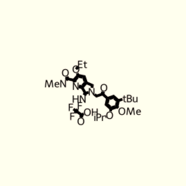 CCOc1cc2c(nc1C(=O)NC)C(=N)N(CC(=O)c1cc(OC(C)C)c(OC)c(C(C)(C)C)c1)C2.O=C(O)C(F)(F)F